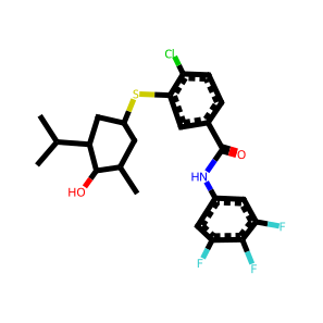 CC(C)C1CC(Sc2cc(C(=O)Nc3cc(F)c(F)c(F)c3)ccc2Cl)CC(C)C1O